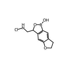 OB1OC(CNCl)c2cc3c(cc21)CCO3